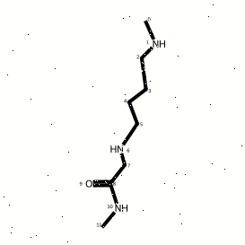 CNCCCCNCC(=O)NC